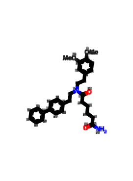 COc1ccc(CCN(CCc2ccc(-c3ccccc3)cc2)C(=O)CCCCC(N)=O)cc1OC